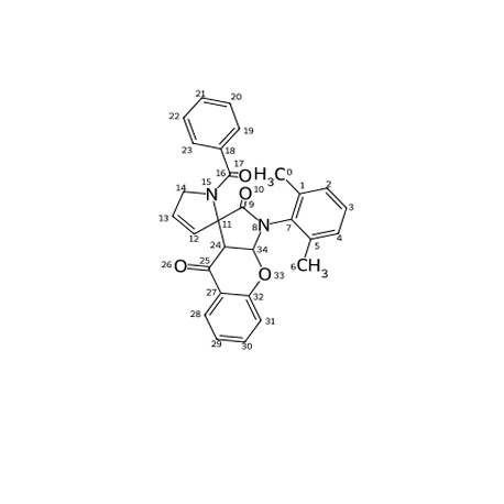 Cc1cccc(C)c1N1C(=O)C2(C=CCN2C(=O)c2ccccc2)C2C(=O)c3ccccc3OC21